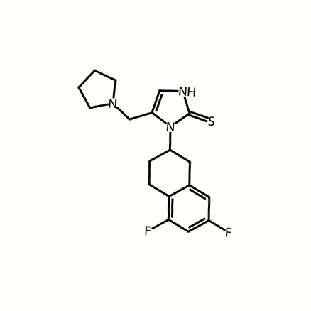 Fc1cc(F)c2c(c1)CC(n1c(CN3CCCC3)c[nH]c1=S)CC2